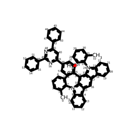 Cc1cccc(C)c1-n1c2ccccc2c2cc3c4ccccc4n(-c4c(C)cccc4C)c3c(-c3ccc(-c4cc(-c5ccccc5)nc(-c5ccccc5)n4)cc3)c21